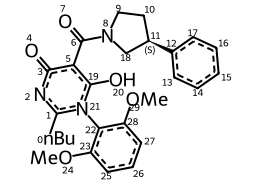 CCCCc1nc(=O)c(C(=O)N2CC[C@@H](c3ccccc3)C2)c(O)n1-c1c(OC)cccc1OC